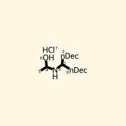 CCCCCCCCCCC(CCCCCCCCCC)NC(C)O.Cl